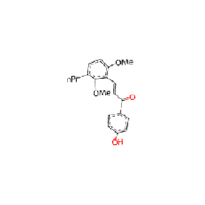 CCCc1ccc(OC)c(C=CC(=O)c2ccc(O)cc2)c1OC